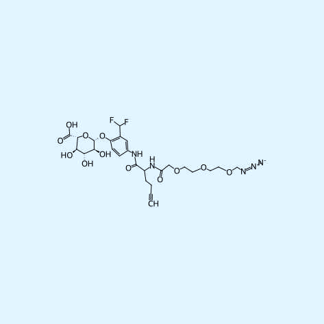 C#CCCC(NC(=O)COCCOCCOCN=[N+]=[N-])C(=O)Nc1ccc(O[C@H]2O[C@@H](C(=O)O)[C@H](O)[C@@H](O)[C@@H]2O)c(C(F)F)c1